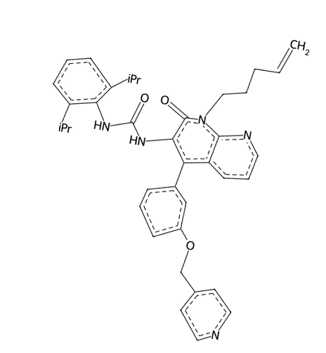 C=CCCCn1c(=O)c(NC(=O)Nc2c(C(C)C)cccc2C(C)C)c(-c2cccc(OCc3ccncc3)c2)c2cccnc21